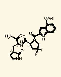 COc1cccc2[nH]c(C(=O)N3CC(F)(F)C[C@H]3C(=O)N[C@@H](C[C@@H]3CCNC3=O)C(N)=O)cc12